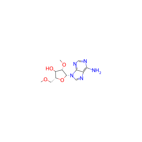 COC[C@H]1O[C@@H](n2cnc3c(N)ncnc32)[C@@H](OC)C1O